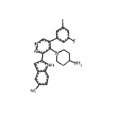 Cc1cc(F)cc(-c2cnnc(-c3cc4cc(C#N)ccc4[nH]3)c2N2CCC(N)CC2)c1